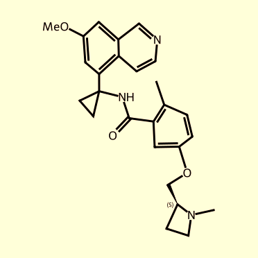 COc1cc(C2(NC(=O)c3cc(OC[C@@H]4CCN4C)ccc3C)CC2)c2ccncc2c1